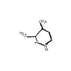 O=C(O)C1CCNNC1C(=O)O